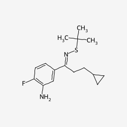 CC(C)(C)SN=C(CCC1CC1)c1ccc(F)c(N)c1